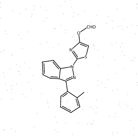 Cc1ccccc1-c1nn(-c2nc(OC=O)cs2)c2ccccc12